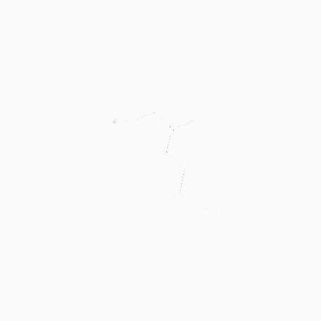 CCCCCCN(C)CCCS(=O)(=O)O